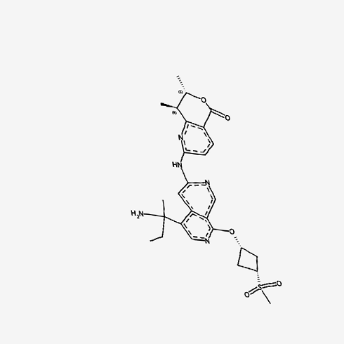 CCC(C)(N)c1cnc(O[C@H]2C[C@@H](S(C)(=O)=O)C2)c2cnc(Nc3ccc4c(n3)[C@@H](C)[C@H](C)OC4=O)cc12